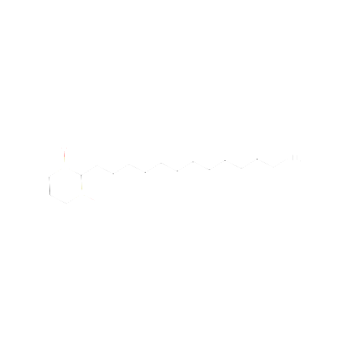 CCCCCCCCCCCCCC1[S+]([O-])CCC[S+]1[O-]